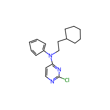 Clc1nccc(N(CCC2CCCCC2)c2ccccc2)n1